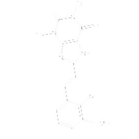 CCn1c(=O)c2[nH]c(/C=C/c3cccc(OC)c3[N+](=O)[O-])nc2n(CC)c1=O